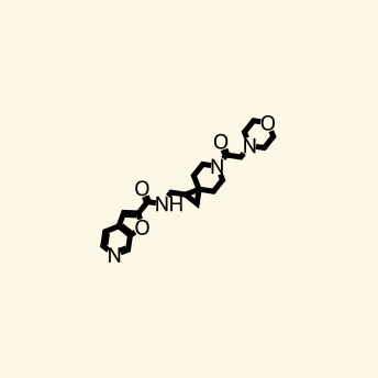 O=C(NCC1CC12CCN(C(=O)CN1CCOCC1)CC2)c1cc2ccncc2o1